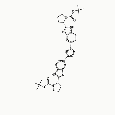 CC(C)(C)OC(=O)N1CCC[C@H]1c1nc2cc(-c3ccc(-c4ccc5[nH]c([C@@H]6CCCN6C(=O)OC(C)(C)C)nc5c4)s3)ccc2[nH]1